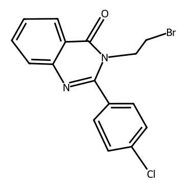 O=c1c2ccccc2nc(-c2ccc(Cl)cc2)n1CCBr